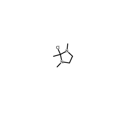 CN1CCN(C)C1(C)Cl